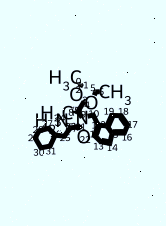 CCOC(OCC)[C@H](C)N(Cc1cccc2ccccc12)C(=O)[C@@H](N)CC1CCCCC1